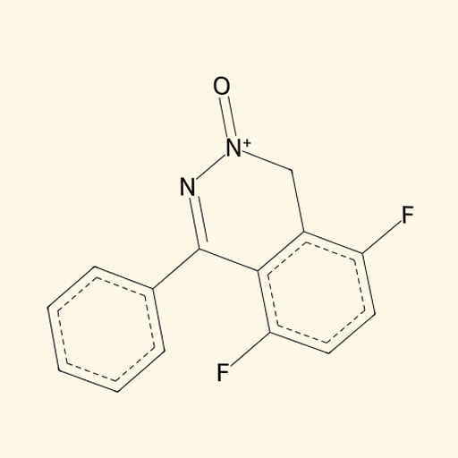 O=[N+]1Cc2c(F)ccc(F)c2C(c2ccccc2)=N1